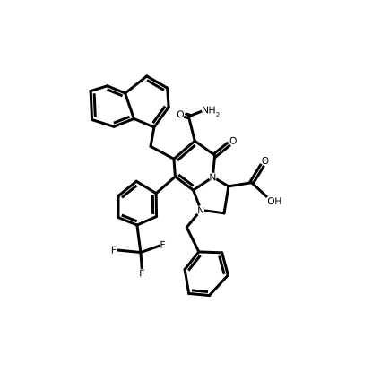 NC(=O)c1c(Cc2cccc3ccccc23)c(-c2cccc(C(F)(F)F)c2)c2n(c1=O)C(C(=O)O)CN2Cc1ccccc1